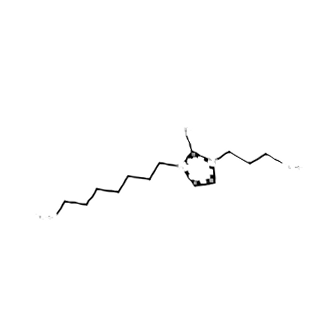 CCCCCCCCCCCCCCCCC[n+]1ccn(CCCCCCCCCCCCC)c1C(C)C